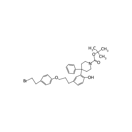 CC(C)(C)OC(=O)N1CCC(c2ccccc2)(c2cc(CCCOc3ccc(CCBr)cc3)ccc2O)CC1